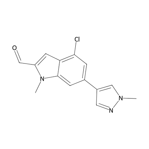 Cn1cc(-c2cc(Cl)c3cc(C=O)n(C)c3c2)cn1